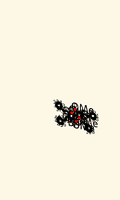 COC(=O)c1cc(OCc2ccccc2)c(OCc2ccccc2)c(OC)c1-c1c(OC)c(OCc2ccccc2)c(OCc2ccccc2)c(Br)c1C(=O)OC